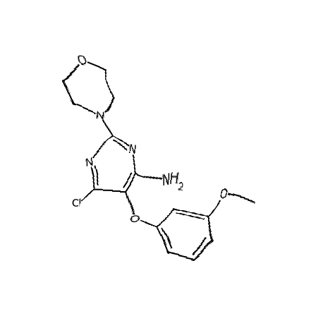 COc1cccc(Oc2c(N)nc(N3CCOCC3)nc2Cl)c1